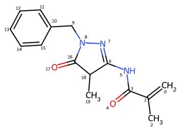 C=C(C)C(=O)NC1=NN(Cc2ccccc2)C(=O)C1C